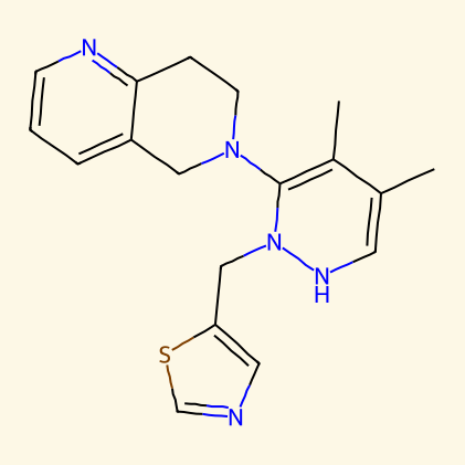 CC1=CNN(Cc2cncs2)C(N2CCc3ncccc3C2)=C1C